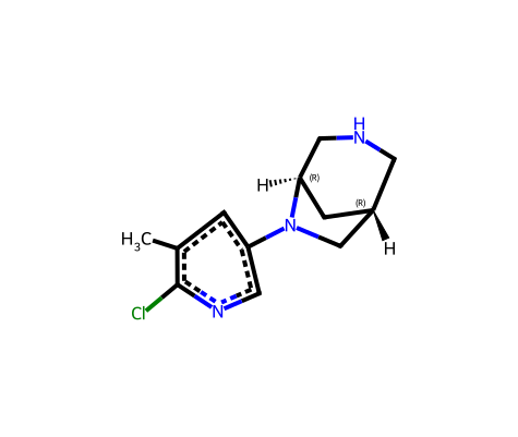 Cc1cc(N2C[C@H]3CNC[C@H]2C3)cnc1Cl